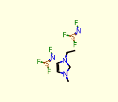 CCN1C=CN(C)C1.FN=S(F)F.FN=S(F)F